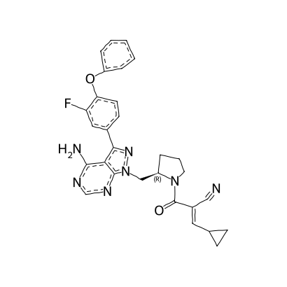 N#CC(=CC1CC1)C(=O)N1CCC[C@@H]1Cn1nc(-c2ccc(Oc3ccccc3)c(F)c2)c2c(N)ncnc21